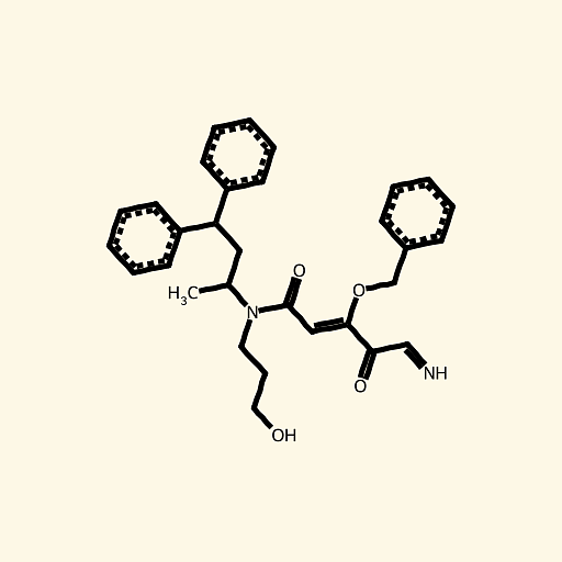 CC(CC(c1ccccc1)c1ccccc1)N(CCCO)C(=O)/C=C(\OCc1ccccc1)C(=O)C=N